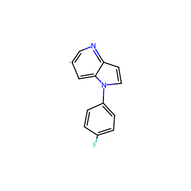 Fc1ccc(-n2ccc3nc[c]cc32)cc1